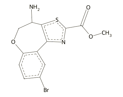 COC(=O)c1nc2c(s1)C(N)COc1ccc(Br)cc1-2